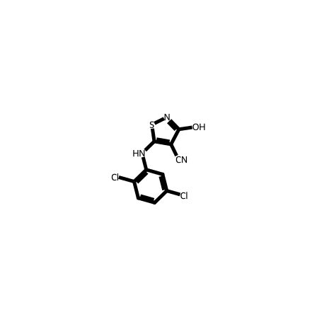 N#Cc1c(O)nsc1Nc1cc(Cl)ccc1Cl